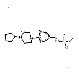 CCS(=O)(=O)NCc1ccc(N2CCN(C3CCCC3)CC2)nc1